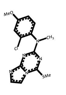 COc1ccc(N(C)c2nc(SC)n3ccnc3n2)c(Cl)c1